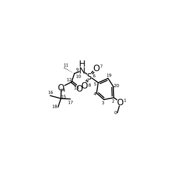 COc1ccc(S(=O)(=O)N[C@@H](C)C(=O)OC(C)(C)C)cc1